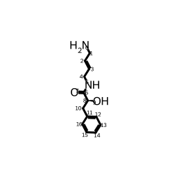 NC/C=C/CNC(=O)[C@@H](O)Cc1ccccc1